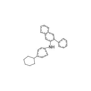 c1ccc(-c2cc3ccccc3cc2Nc2ccc(C3CCCCC3)cc2)cc1